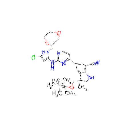 CC(C)(C)[Si](C)(C)OC[C@@]1(C)CNc2c(C#N)cc(-c3ccnc(Nc4cc(Cl)nn4C[C@H]4COCCO4)n3)cc21